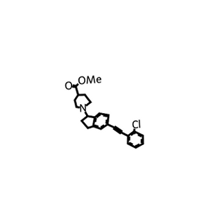 COC(=O)C1CCN(C2CCc3cc(C#Cc4ccccc4Cl)ccc32)CC1